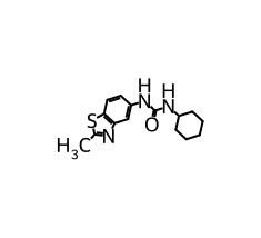 Cc1nc2cc(NC(=O)NC3CCCCC3)ccc2s1